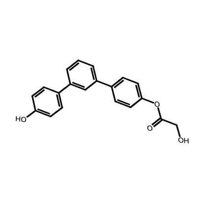 O=C(CO)Oc1ccc(-c2cccc(-c3ccc(O)cc3)c2)cc1